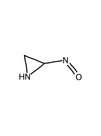 O=NC1CN1